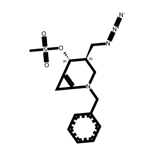 CS(=O)(=O)O[C@H]1C2=C(C2)N(Cc2ccccc2)C[C@@H]1CN=[N+]=[N-]